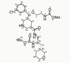 COC(=O)NCCO[C@@H](c1cccc(Cl)c1)C1CNCC(C(=O)NC[C@@H](C[C@H]2CCCOC2)NC(=O)OC(C)(C)C)C1